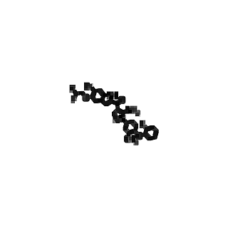 Cc1cc(-n2ncc(C(=O)c3cc4cc(OCC(F)F)c(Br)cc4[nH]3)c2N)ccc1Oc1ccccc1F